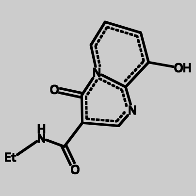 CCNC(=O)c1cnc2c(O)cccn2c1=O